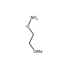 COCCO[N+](=O)[O-]